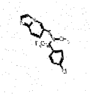 CN(Sc1ccc2nccn2c1)[C@H](c1ccc(Cl)cc1)C(F)(F)F